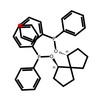 c1ccc(P(O[C@@H]2CCCC23CCC[C@H]3OP(c2ccccc2)c2ccccc2)c2ccccc2)cc1